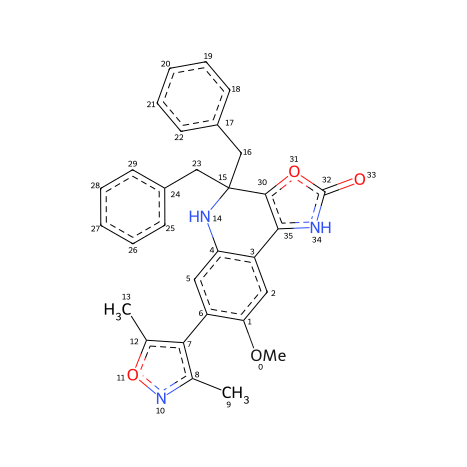 COc1cc2c(cc1-c1c(C)noc1C)NC(Cc1ccccc1)(Cc1ccccc1)c1oc(=O)[nH]c1-2